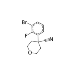 N#CC1(c2cccc(Br)c2F)CCOCC1